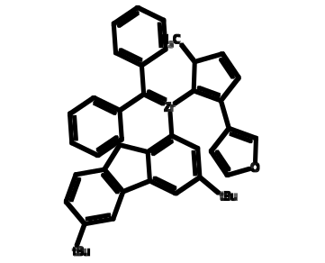 CC1C=CC(c2ccoc2)=[C]1[Zr](=[C](c1ccccc1)c1ccccc1)[c]1cc(C(C)(C)C)cc2c1Cc1ccc(C(C)(C)C)cc1-2